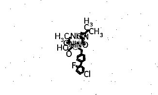 CC(N)C(=O)N[C@H](C[C@@H](Cc1ccc(-c2cc(Cl)ccc2F)cc1)NC(=O)c1nc(C(C)C)co1)C(=O)O